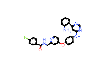 Nc1ccccc1-c1cc(Nc2ccc(Oc3ccnc(CNC(=O)c4ccc(F)cc4)c3)cc2)ncn1